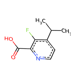 CC(C)c1ccnc(C(=O)O)c1F